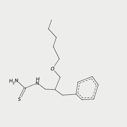 CCCCCOCC(CNC(N)=S)Cc1ccccc1